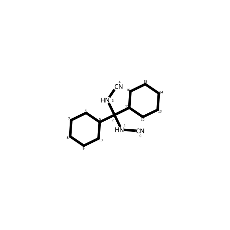 N#CNC(NC#N)(C1CCCCC1)C1CCCCC1